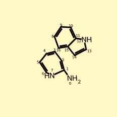 NC1=CC=CC=CN1.c1ccc2[nH]ccc2c1